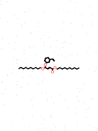 C=Cc1ccccc1.CCCCCCCCCCOC(=O)C=CC(=O)OCCCCCCCCCC